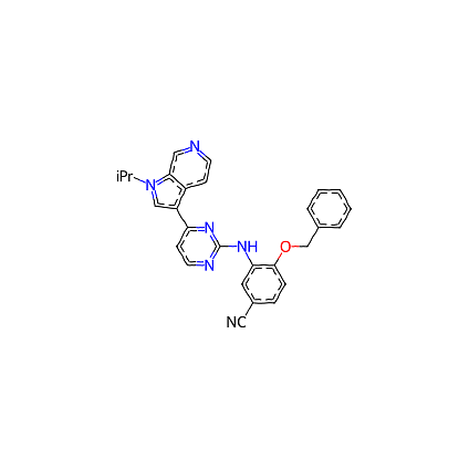 CC(C)n1cc(-c2ccnc(Nc3cc(C#N)ccc3OCc3ccccc3)n2)c2ccncc21